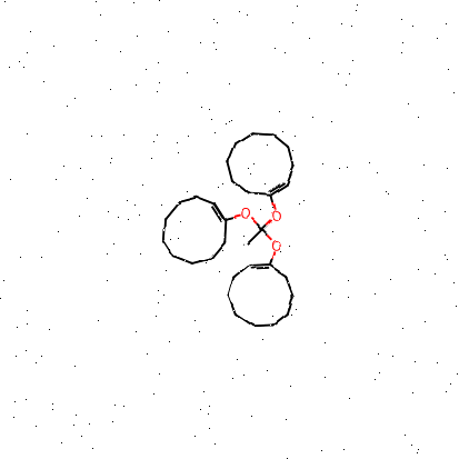 [CH2]C(O/C1=C/CCCCCCCC1)(O/C1=C/CCCCCCCC1)O/C1=C/CCCCCCCC1